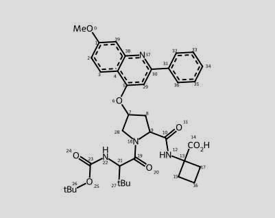 COc1ccc2c(OC3CC(C(=O)NC4(C(=O)O)CCC4)N(C(=O)C(NC(=O)OC(C)(C)C)C(C)(C)C)C3)cc(-c3ccccc3)nc2c1